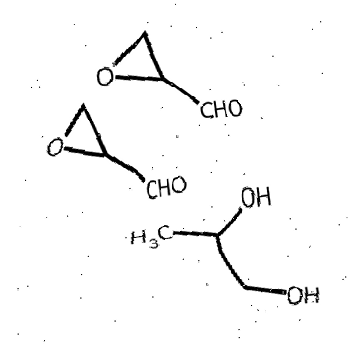 CC(O)CO.O=CC1CO1.O=CC1CO1